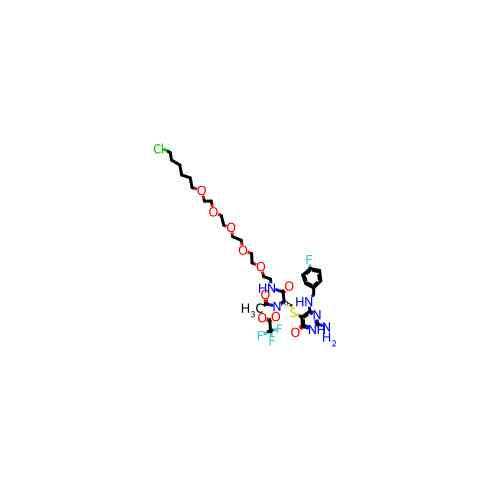 CC(=O)N(OC(=O)C(F)(F)F)[C@@H](CSc1c(NCc2ccc(F)cc2)nc(N)[nH]c1=O)C(=O)NCCOCCOCCOCCOCCOCCCCCCCl